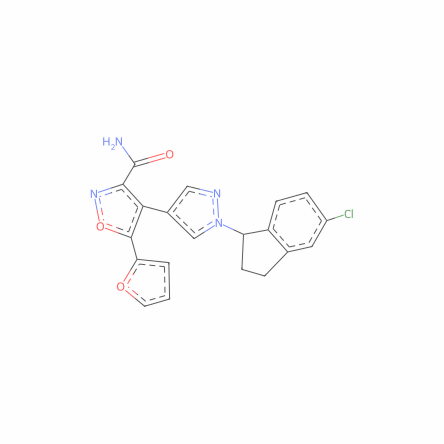 NC(=O)c1noc(-c2ccco2)c1-c1cnn(C2CCc3cc(Cl)ccc32)c1